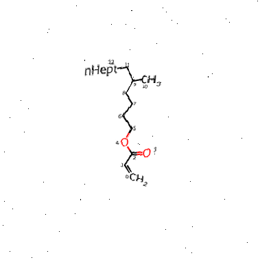 C=CC(=O)OCCCCC(C)CCCCCCCC